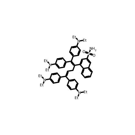 CCN(CC)c1ccc(C(=CCC(=C(c2ccc(N(CC)CC)cc2)c2ccc(N(CC)CC)cc2)c2cc(S(N)(=O)=O)cc3ccccc23)c2ccc(N(CC)CC)cc2)cc1